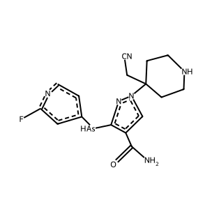 N#CCC1(n2cc(C(N)=O)c([AsH]c3ccnc(F)c3)n2)CCNCC1